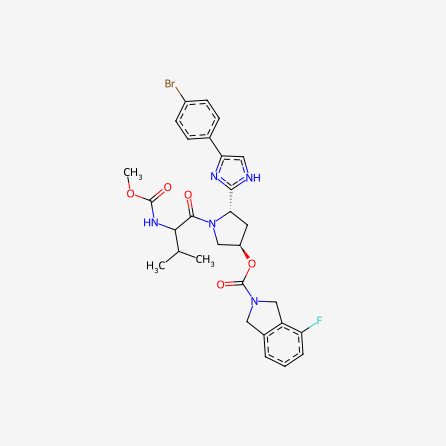 COC(=O)NC(C(=O)N1C[C@H](OC(=O)N2Cc3cccc(F)c3C2)C[C@H]1c1nc(-c2ccc(Br)cc2)c[nH]1)C(C)C